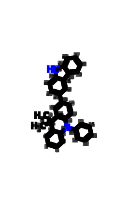 CC1(C)c2ccccc2N(c2ccccc2)c2ccc(-c3ccc4[nH]c5ccccc5c4c3)cc21